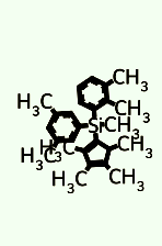 CC1=C(C)C(C)C([Si](C)(c2cc(C)cc(C)c2)c2cccc(C)c2C)=C1C